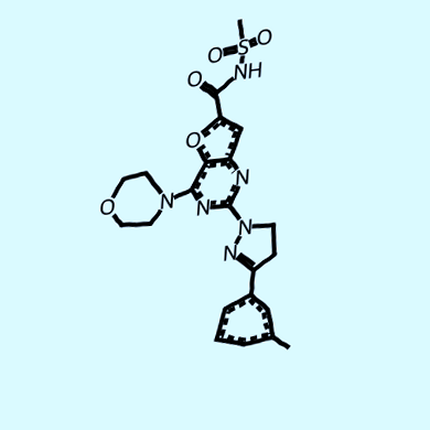 Cc1cccc(C2=NN(c3nc(N4CCOCC4)c4oc(C(=O)NS(C)(=O)=O)cc4n3)CC2)c1